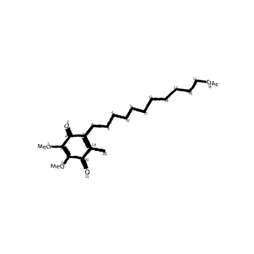 COC1=C(OC)C(=O)C(CCCCCCCCCCCOC(C)=O)=C(C)C1=O